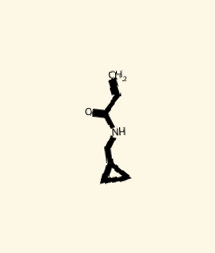 C=CC(=O)NCC1CC1